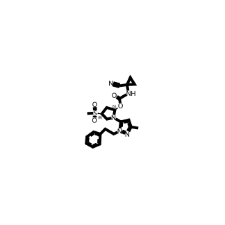 Cc1cc(N2C[C@H](S(C)(=O)=O)C[C@@H]2OC(=O)NC2(C#N)CC2)n(CCc2ccccc2)n1